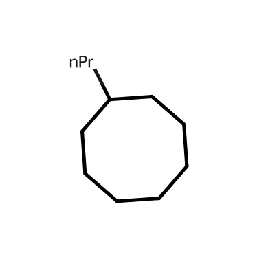 [CH2]CCC1CCCCCCC1